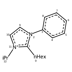 CCCCCCc1n(-c2ccccc2)cc[n+]1C(C)C